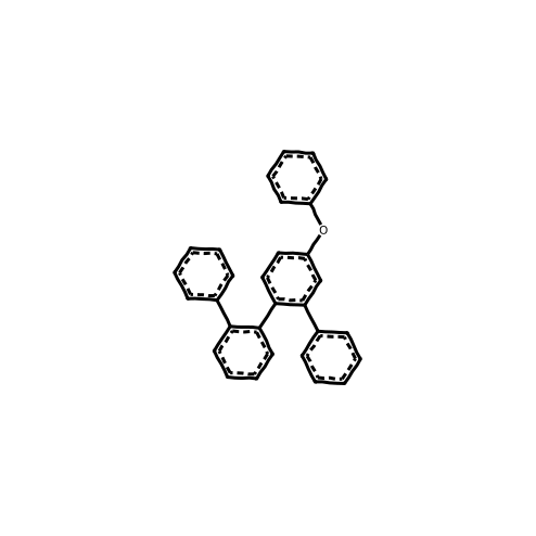 c1ccc(Oc2ccc(-c3ccccc3-c3ccccc3)c(-c3ccccc3)c2)cc1